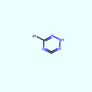 CC(C)C1=NNN=C=N1